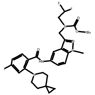 Cn1nc(CN(CC(F)F)C(=O)OC(C)(C)C)c2cc(NC(=O)c3ccc(I)cc3N3CCC4(CC3)CC4)ccc21